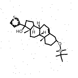 CC(C)(C)[Si](C)(C)OC1CC[C@@]2(C)C(=CC[C@@H]3[C@H]2CC[C@@]2(C)[C@H]3CCC2(O)c2ccsc2)C1